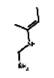 C/C=C(\C)NCN